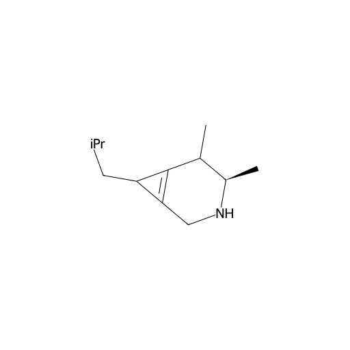 CC(C)CC1C2=C1C(C)[C@@H](C)NC2